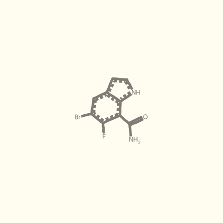 NC(=O)c1c(F)c(Br)cc2cc[nH]c12